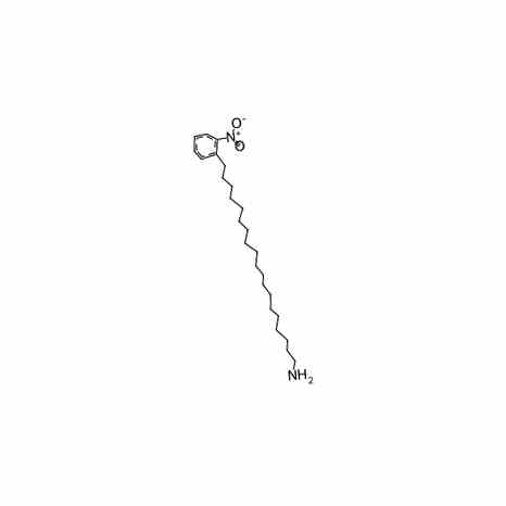 NCCCCCCCCCCCCCCCCCCCc1ccccc1[N+](=O)[O-]